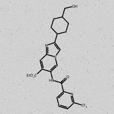 CCOC(=O)c1cc2nc(C3CCC(CO)CC3)cn2cc1NC(=O)c1cccc(C(F)(F)F)n1